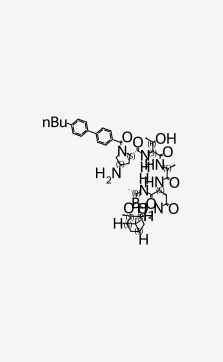 CCCCc1ccc(-c2ccc(C(=O)N3C[C@@H](N)C[C@H]3C(=O)N[C@H](C(=O)N[C@@H](C)C(=O)N[C@@H](CC(N)=O)C(=O)N[C@@H](C)B3O[C@@H]4C[C@@H]5C[C@@H](C5(C)C)[C@]4(C)O3)[C@@H](C)O)cc2)cc1